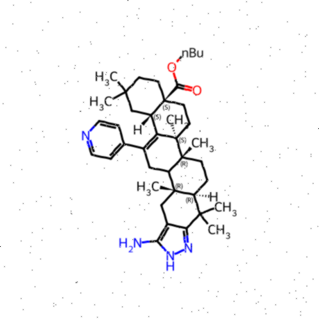 CCCCOC(=O)[C@]12CCC(C)(C)C[C@H]1C1=C(c3ccncc3)CC3[C@@]4(C)Cc5c(n[nH]c5N)C(C)(C)[C@@H]4CC[C@@]3(C)[C@]1(C)CC2